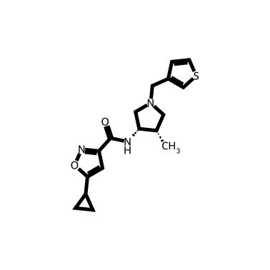 C[C@H]1CN(Cc2ccsc2)C[C@H]1NC(=O)c1cc(C2CC2)on1